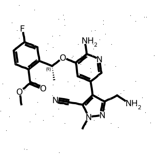 COC(=O)c1ccc(F)cc1[C@@H](C)Oc1cc(-c2c(CN)nn(C)c2C#N)cnc1N